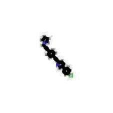 Clc1ccc(-c2ccc(C#Cc3ccc(C#CCN4CCCC4)cc3)nc2)cc1